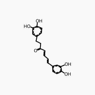 O=C(/C=C/C=C/c1ccc(O)c(O)c1)CCc1ccc(O)c(O)c1